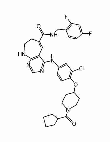 O=C(NCc1ccc(F)cc1F)C1=Cc2c(ncnc2Nc2ccc(OC3CCN(C(=O)C4CCCC4)CC3)c(Cl)c2)NCC1